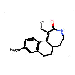 COc1ccc2c(c1)CCC1CCNC(=O)C(CC(C)=O)=C21